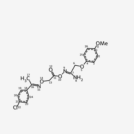 COc1ccc(OC/C(N)=N/OC(=O)CO/N=C(\C)c2ccc(Cl)cc2)cc1